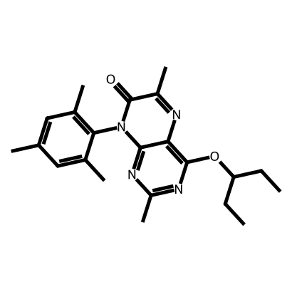 CCC(CC)Oc1nc(C)nc2c1nc(C)c(=O)n2-c1c(C)cc(C)cc1C